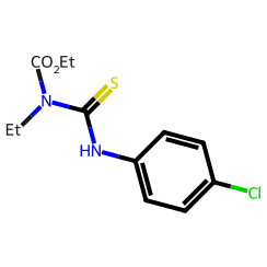 CCOC(=O)N(CC)C(=S)Nc1ccc(Cl)cc1